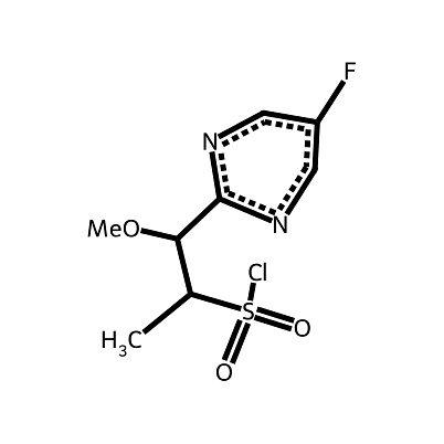 COC(c1ncc(F)cn1)C(C)S(=O)(=O)Cl